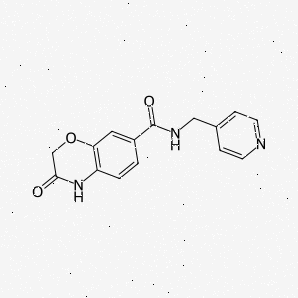 O=C1COc2cc(C(=O)NCc3ccncc3)ccc2N1